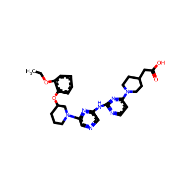 CCOc1ccccc1OC1CCCN(c2cncc(Nc3nccc(N4CCC(CC(=O)O)CC4)n3)n2)C1